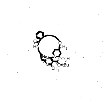 Cc1nc2cc3nn2c(c1[C@H](OC(C)(C)C)C(=O)O)N1CCC(C)(CC1)OCCCCc1ccccc1C(=O)NC3